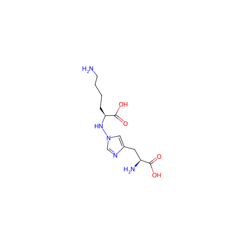 NCCCC[C@H](Nn1cnc(C[C@H](N)C(=O)O)c1)C(=O)O